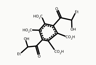 CCC(O)C(=O)c1c(C(=O)O)c(C(=O)O)c(C(=O)C(O)CC)c(C(=O)O)c1C(=O)O